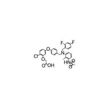 Cc1c(NS(C)(=O)=O)cccc1N(Cc1ccc(Oc2ccc(Cl)c(OCC(=O)O)c2)cc1)Cc1ccc(F)cc1F